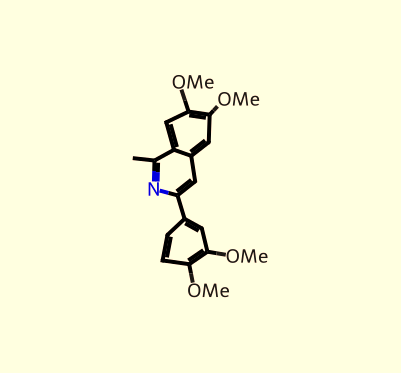 COc1ccc(-c2cc3cc(OC)c(OC)cc3c(C)n2)cc1OC